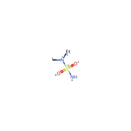 CCN(C)S([NH])(=O)=O